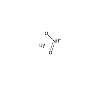 O=[NH+][O-].[Dy]